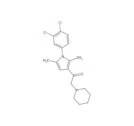 Cc1cc(C(=O)CN2CCCCC2)c(C)n1-c1ccc(Cl)c(Cl)c1